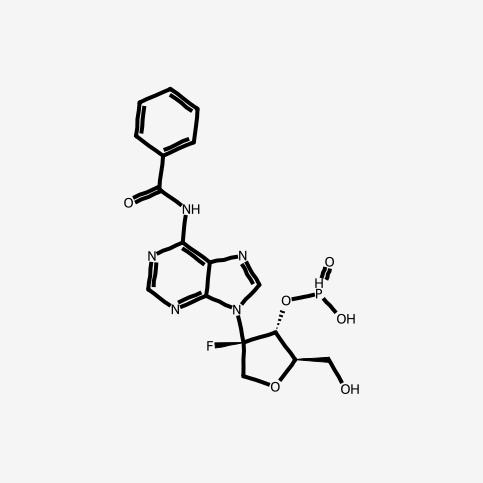 O=C(Nc1ncnc2c1ncn2[C@@]1(F)CO[C@H](CO)[C@H]1O[PH](=O)O)c1ccccc1